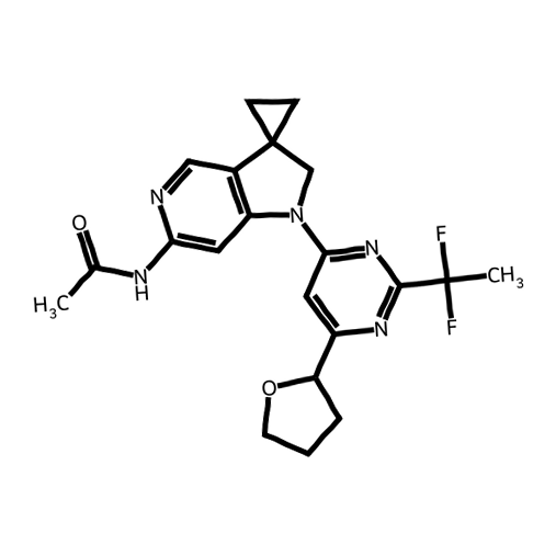 CC(=O)Nc1cc2c(cn1)C1(CC1)CN2c1cc(C2CCCO2)nc(C(C)(F)F)n1